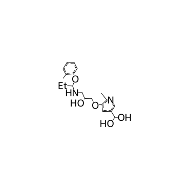 CCC(NCC(O)COc1cc(C(O)O)cnc1C)Oc1ccccc1C